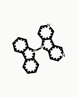 c1ccc2c(c1)c1ccccc1p2-p1c2ccncc2c2cnccc21